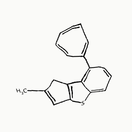 CC1=Cc2sc3cccc(-c4ccccc4)c3c2C1